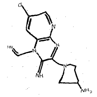 N=Cn1c(=N)c(N2CC(N)C2)nc2ncc(Cl)cc21